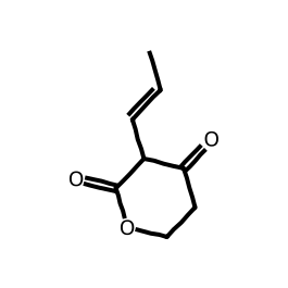 CC=CC1C(=O)CCOC1=O